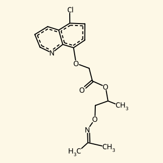 CC(C)=NOCC(C)OC(=O)COc1ccc(Cl)c2cccnc12